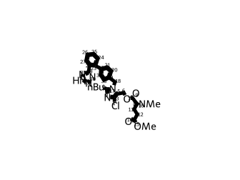 CCCCc1nc(Cl)c(COC(=O)[C@H](CCC(=O)OC)NC)n1Cc1ccc(-c2ccccc2-c2nn[nH]n2)cc1